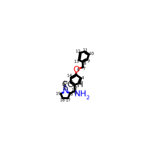 NC(c1ccc(OCc2ccccc2)cc1)C1CCCN1C(=O)O